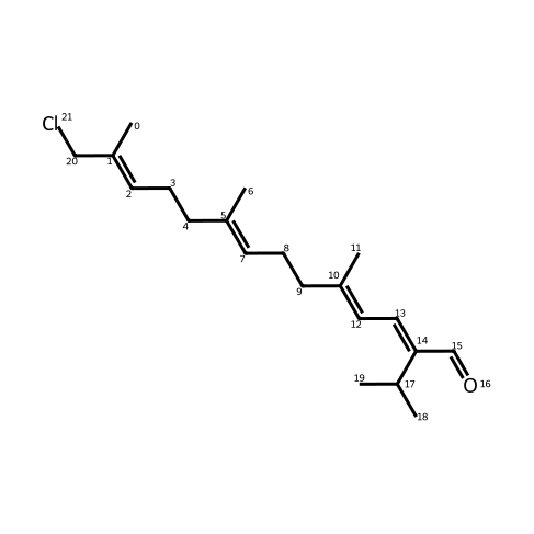 C/C(=C\CC/C(C)=C/CC/C(C)=C/C=C(/C=O)C(C)C)CCl